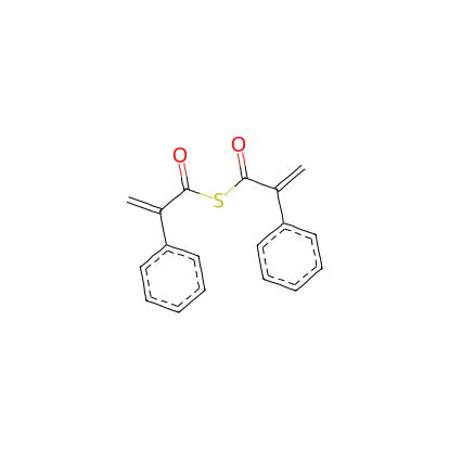 C=C(C(=O)SC(=O)C(=C)c1ccccc1)c1ccccc1